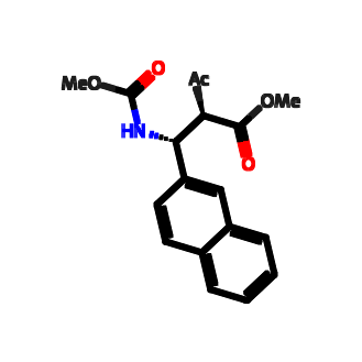 COC(=O)N[C@@H](c1ccc2ccccc2c1)[C@@H](C(C)=O)C(=O)OC